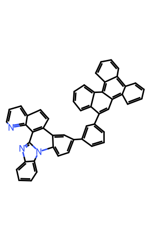 c1cc(-c2ccc3c(c2)c2ccc4cccnc4c2c2nc4ccccc4n32)cc(-c2cc3c4ccccc4c4ccccc4c3c3ccccc23)c1